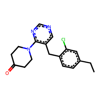 CCc1ccc(Cc2cncnc2N2CCC(=O)CC2)c(Cl)c1